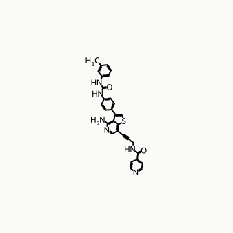 Cc1cccc(NC(=O)Nc2ccc(-c3csc4c(C#CCNC(=O)c5ccncc5)cnc(N)c34)cc2)c1